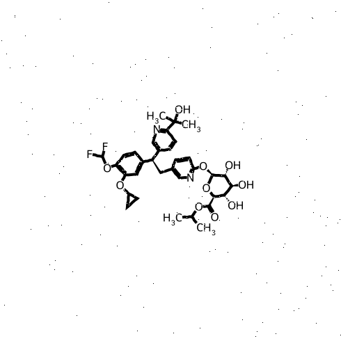 CC(C)OC(=O)[C@H]1O[C@@H](Oc2ccc(C[C@H](c3ccc(C(C)(C)O)nc3)c3ccc(OC(F)F)c(OC4CC4)c3)cn2)[C@H](O)[C@@H](O)[C@@H]1O